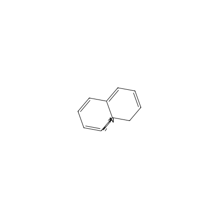 C1=CCC23C=NC=CC2=CC=CC3=C1